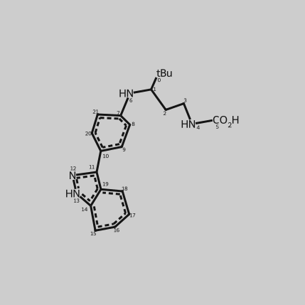 CC(C)(C)C(CCNC(=O)O)Nc1ccc(-c2n[nH]c3ccccc23)cc1